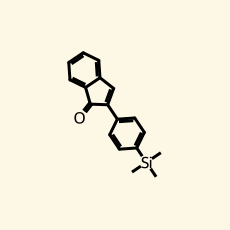 C[Si](C)(C)c1ccc(C2=Cc3ccccc3C2=O)cc1